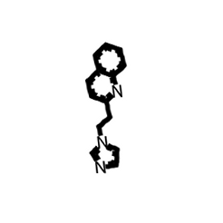 c1ccc2nc(CCn3ccnc3)ccc2c1